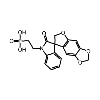 O=C1N(CCP(=O)(O)O)c2ccccc2C12COc1cc3c(cc12)OCO3